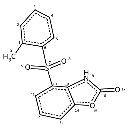 Cc1ccccc1S(=O)(=O)c1cccc2oc(=O)[nH]c12